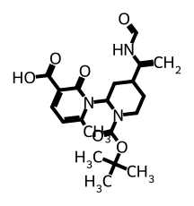 C=C(NC=O)C1CCN(C(=O)OC(C)(C)C)C(n2c(C)ccc(C(=O)O)c2=O)C1